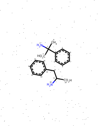 CC(N)(C(=O)O)c1ccccc1.NC(Cc1ccccc1)C(=O)O